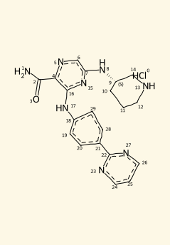 Cl.NC(=O)c1ncc(N[C@H]2CCCNC2)nc1Nc1ccc(-c2ncccn2)cc1